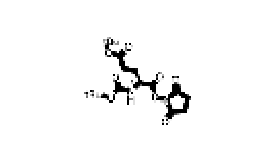 CC(C)(C)OC(=O)CC[C@H](NC(=O)OC(C)(C)C)C(=O)ON1C(=O)CCC1=O